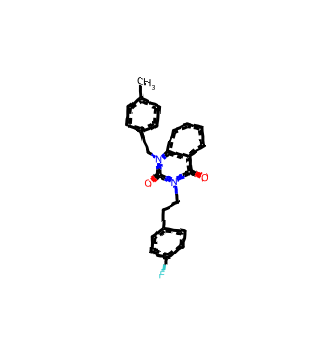 Cc1ccc(Cn2c(=O)n(CCc3ccc(F)cc3)c(=O)c3ccccc32)cc1